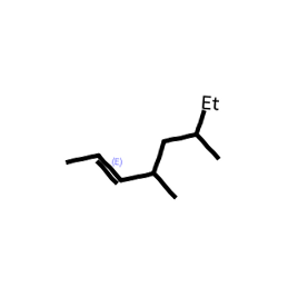 C/C=C/C(C)CC(C)CC